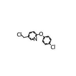 ClCc1ccc(Oc2ccc(Cl)cc2)nc1